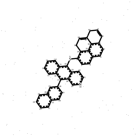 C1=Cc2ccc3ccc(Sc4c5ccccc5c(-c5ccc6ccccc6c5)c5cnccc45)c4c3c2C(=CC4)C1